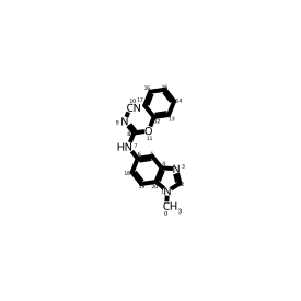 Cn1cnc2cc(N/C(=N/C#N)Oc3ccccc3)ccc21